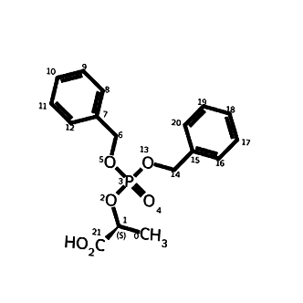 C[C@H](OP(=O)(OCc1ccccc1)OCc1ccccc1)C(=O)O